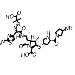 C[C@@H](NC(=O)/C(=N\OC(C)(C)C(=O)O)c1csc(N)n1)[C@H]1C(=O)N2C(C(=O)O)=C(S[C@@H]3CN[C@H](C(=O)N4CCC(N)C4)C3)[C@H](C)[C@H]12